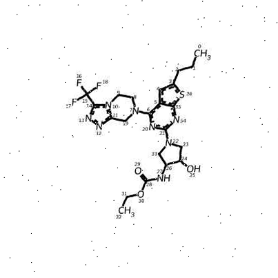 CCCc1cc2c(N3CCn4c(nnc4C(F)(F)F)C3)nc(N3CC(O)C(NC(=O)OCC)C3)nc2s1